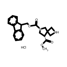 COC(=O)[C@@H]1CN(C(=O)OCC2c3ccccc3-c3ccccc32)CC12CNC2.Cl